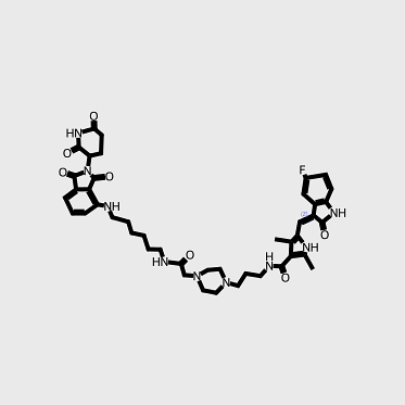 Cc1[nH]c(/C=C2\C(=O)Nc3ccc(F)cc32)c(C)c1C(=O)NCCCN1CCN(CC(=O)NCCCCCCNc2cccc3c2C(=O)N(C2CCC(=O)NC2=O)C3=O)CC1